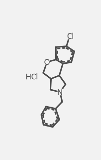 Cl.Clc1ccc2c(c1)OCC1CN(Cc3ccccc3)CC21